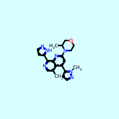 Cc1cnc(-c2ccn[nH]2)c2nc(N3CCOCC3C)cc(-c3ccnn3C)c12